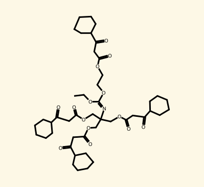 CCOC(=NC(COC(=O)CC(=O)C1CCCCC1)(COC(=O)CC(=O)C1CCCCC1)COC(=O)CC(=O)C1CCCCC1)OCCOC(=O)CC(=O)C1CCCCC1